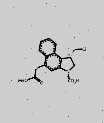 COC(=O)Oc1cc2c(c3ccccc13)[C@H](CCl)CN2C(=O)O